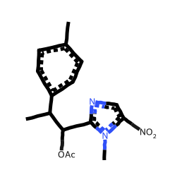 CC(=O)OC(c1ncc([N+](=O)[O-])n1C)C(C)c1ccc(C)cc1